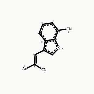 CC(=O)C(C#N)=Cc1csc2c(C#N)cccc12